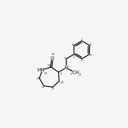 CN(Cc1ccccc1)C1CCCCNC1=O